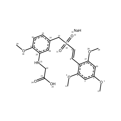 COc1cc(OC)c(C=CS(=O)(=O)Cc2ccc(OC)c(NCC(=O)O)c2)c(OC)c1.[NaH]